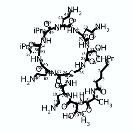 CC(C)CCCCC(=O)N[C@@H](C)C(=O)N[C@H](C(=O)N[C@@H](CCN)C(=O)N[C@H]1CCNC(=O)[C@H]([C@@H](C)O)NC(=O)[C@H](CCN)NC(=O)[C@H](CCN)NC(=O)[C@H](C(C)C)NC(=O)[C@@H](CC(C)C)NC(=O)[C@H](CCN)NC1=O)[C@@H](C)O